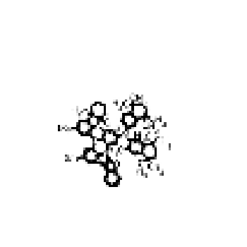 Cc1cc2c(cc1N(c1cc3c4c(c1)-n1c5oc6ccccc6c5c5cc(C(C)(C)C)cc(c51)B4c1cc(C(C)(C)C)cc4c1N3C1(C)CCCCC41C)c1ccc3c(c1)C(C)(C)CCC3(C)C)C(C)(C)CCC2(C)C